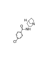 O=C(N[C@@H]1C[C@H]2CCN(C2)C1)c1ccc(Cl)cc1